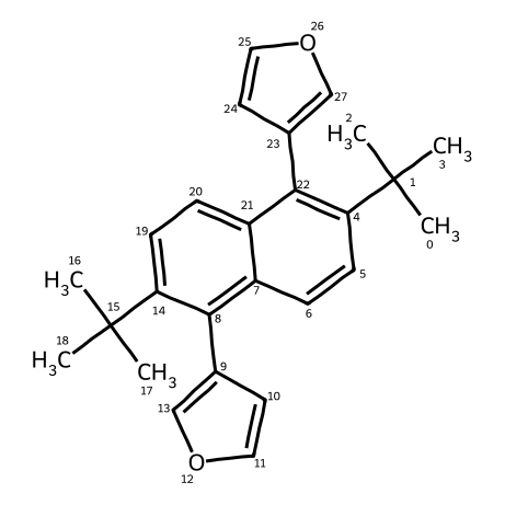 CC(C)(C)c1ccc2c(-c3ccoc3)c(C(C)(C)C)ccc2c1-c1ccoc1